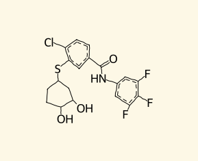 O=C(Nc1cc(F)c(F)c(F)c1)c1ccc(Cl)c(SC2CCC(O)C(O)C2)c1